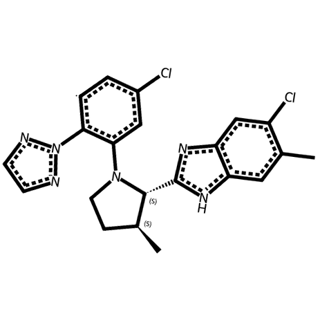 Cc1cc2[nH]c([C@@H]3[C@@H](C)CCN3c3cc(Cl)c[c]c3-n3nccn3)nc2cc1Cl